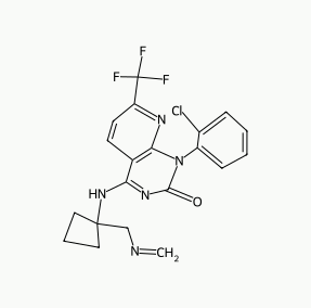 C=NCC1(Nc2nc(=O)n(-c3ccccc3Cl)c3nc(C(F)(F)F)ccc23)CCC1